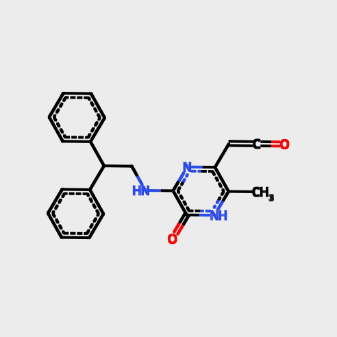 Cc1[nH]c(=O)c(NCC(c2ccccc2)c2ccccc2)nc1C=C=O